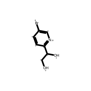 OCC(O)c1ccc(Br)cn1